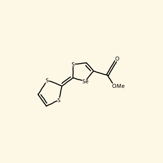 COC(=O)C1=CSC(=C2SC=CS2)[Se]1